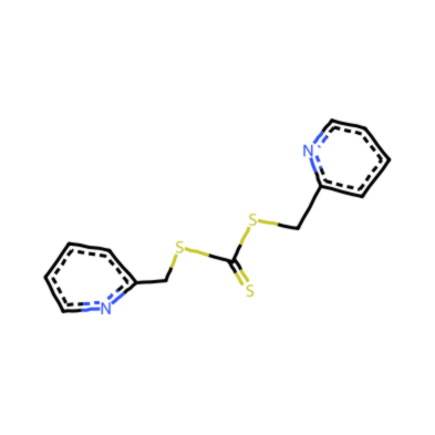 S=C(SCc1ccccn1)SCc1ccccn1